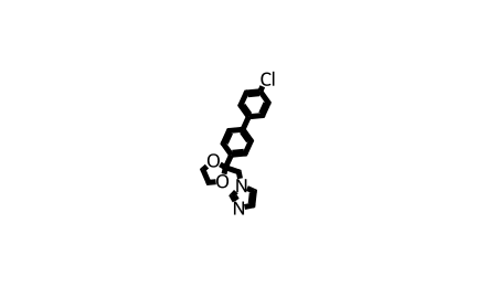 Clc1ccc(-c2ccc(C3(Cn4ccnc4)OCCO3)cc2)cc1